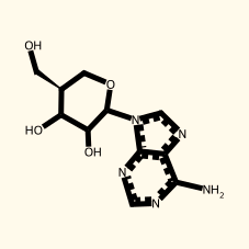 Nc1ncnc2c1ncn2C1OC[C@H](CO)C(O)C1O